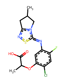 CC1Cc2ns/c(=N\c3cc(OC(C)C(=O)O)c(Cl)cc3F)n2C1